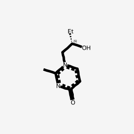 CC[C@H](O)Cn1ccc(=O)nc1C